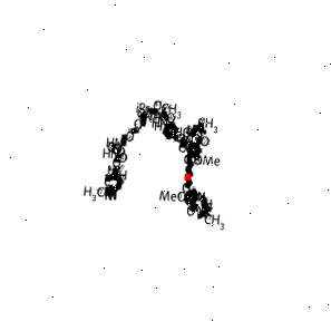 COc1cc2c(cc1OCCCCCOc1cc3c(cc1OC)C(=O)N1C=C(C)C[C@H]1[C@H](O)N3C(=O)OCc1ccc(NC(=O)[C@H](C)NC(=O)[C@@H](NC(=O)COCCOCCNS(=O)(=O)NC(=O)OC[C@@H]3[C@@H]4CCc5c(nnn5C)CC[C@@H]43)C(C)C)cc1)N=C[C@@H]1CC(C)=CN1C2=O